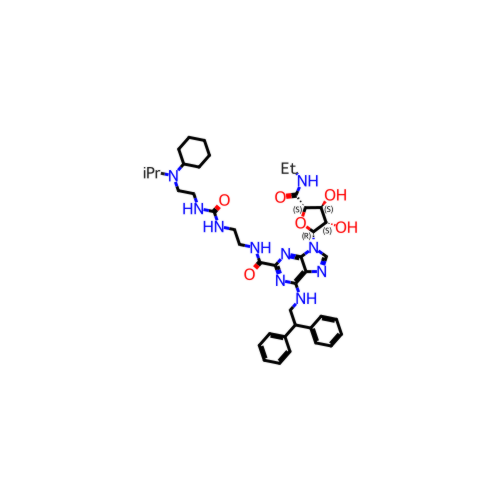 CCNC(=O)[C@H]1O[C@@H](n2cnc3c(NCC(c4ccccc4)c4ccccc4)nc(C(=O)NCCNC(=O)NCCN(C(C)C)C4CCCCC4)nc32)[C@@H](O)[C@@H]1O